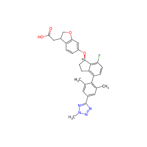 Cc1cc(-c2nnn(C)n2)cc(C)c1-c1ccc(F)c2c1CC[C@H]2Oc1ccc2c(c1)OCC2CC(=O)O